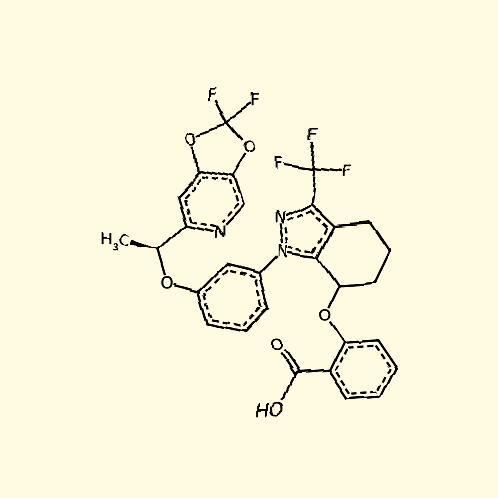 C[C@H](Oc1cccc(-n2nc(C(F)(F)F)c3c2C(Oc2ccccc2C(=O)O)CCC3)c1)c1cc2c(cn1)OC(F)(F)O2